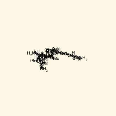 CC(C)(C)SCC(NC(=O)[C@H](CCCCN)NC(=O)CCl)C(=O)N[C@@H](CCCNC(=N)N)C(=O)NCC(=O)N[C@@H](CC(=O)O)C(=O)NC(CSC(C)(C)C)C(=O)N[C@@H](Cc1ccccc1)C(=O)N[C@@H](CS)C(=O)NCCOCCOCCOCCNC(=O)COCC(N)=O